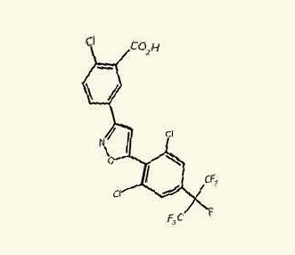 O=C(O)c1cc(-c2cc(-c3c(Cl)cc(C(F)(C(F)(F)F)C(F)(F)F)cc3Cl)on2)ccc1Cl